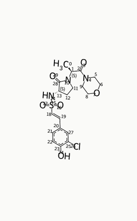 C[C@@H](C(=O)N1CCOCC1)N1CC[C@H](NS(=O)(=O)C=Cc2ccc(O)c(Cl)c2)C1=O